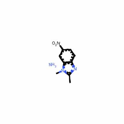 Cc1nc2ccc([N+](=O)[O-])cc2n1C.N